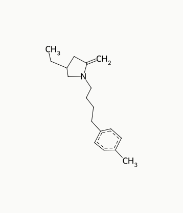 C=C1CC(CC)CN1CCCCc1ccc(C)cc1